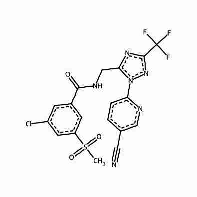 CS(=O)(=O)c1cc(Cl)cc(C(=O)NCc2nc(C(F)(F)F)nn2-c2ccc(C#N)cn2)c1